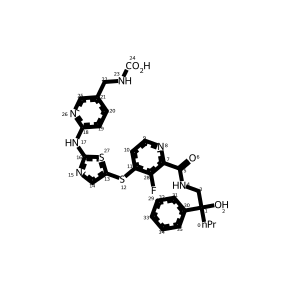 CCCC(O)(CNC(=O)c1nccc(Sc2cnc(Nc3ccc(CNC(=O)O)cn3)s2)c1F)c1ccccc1